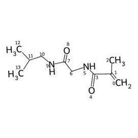 C=C(C)C(=O)NCC(=O)NCC(C)C